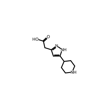 O=C(O)Cc1cc(C2CCNCC2)[nH]n1